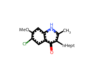 CCCCCCCc1c(C)[nH]c2cc(OC)c(Cl)cc2c1=O